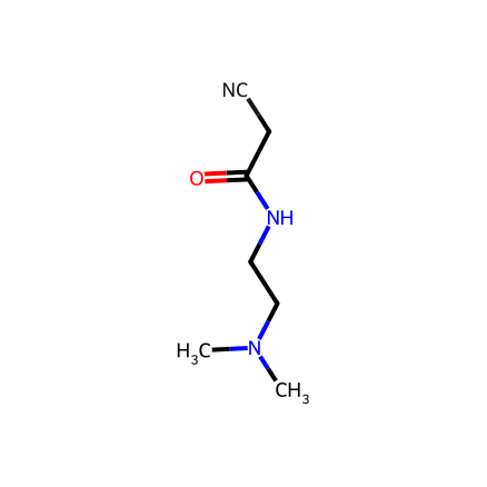 CN(C)CCNC(=O)CC#N